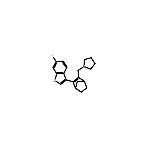 Fc1ccc2c(C3=C(CN4CCCC4)C4CCC3C4)csc2c1